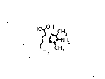 CCCCCC(O)O.Cc1cccc(C)c1N